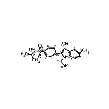 Cc1cnc2c(c1)c(C#N)c(-c1ccc(S(=O)(=O)N[C@@H](C)C(F)(F)F)cc1)n2CC(C)C